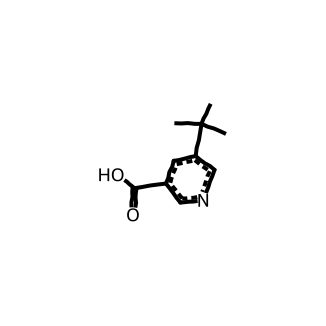 CC(C)(C)c1cncc(C(=O)O)c1